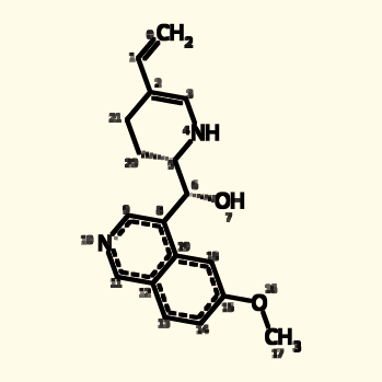 C=CC1=CN[C@H]([C@H](O)c2cncc3ccc(OC)cc23)CC1